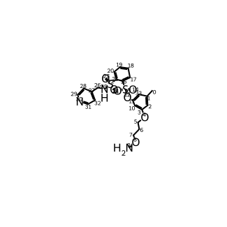 Cc1cc(OCCCON)cc(OS(=O)(=O)c2ccccc2S(=O)(=O)NCc2ccncc2)c1